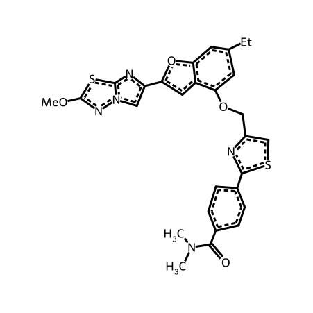 CCc1cc(OCc2csc(-c3ccc(C(=O)N(C)C)cc3)n2)c2cc(-c3cn4nc(OC)sc4n3)oc2c1